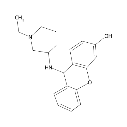 CCN1CCCC(NC2c3ccccc3Oc3cc(O)ccc32)C1